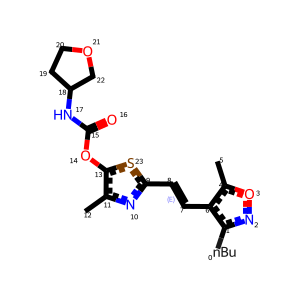 CCCCc1noc(C)c1/C=C/c1nc(C)c(OC(=O)NC2CCOC2)s1